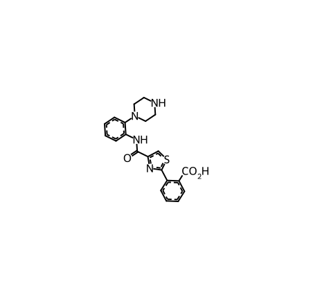 O=C(Nc1ccccc1N1CCNCC1)c1csc(-c2ccccc2C(=O)O)n1